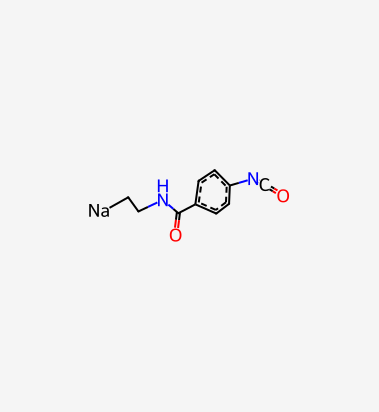 O=C=Nc1ccc(C(=O)NC[CH2][Na])cc1